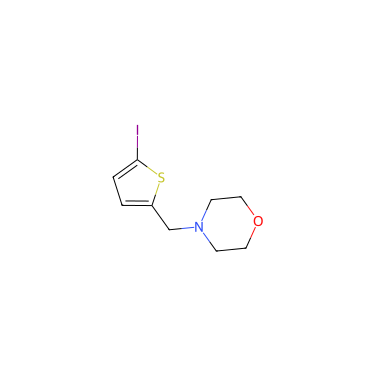 Ic1ccc(CN2CCOCC2)s1